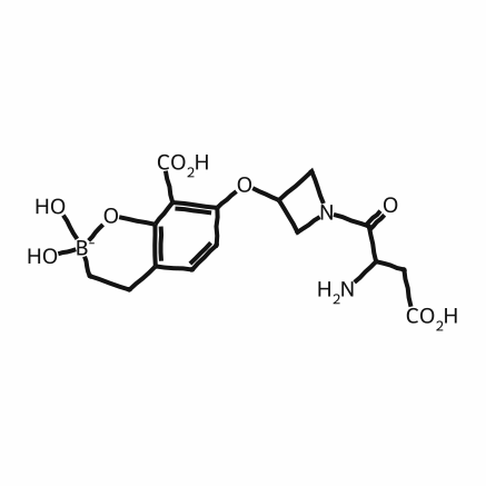 NC(CC(=O)O)C(=O)N1CC(Oc2ccc3c(c2C(=O)O)O[B-](O)(O)CC3)C1